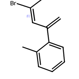 C=C(/C=C(\C)Br)c1ccccc1C